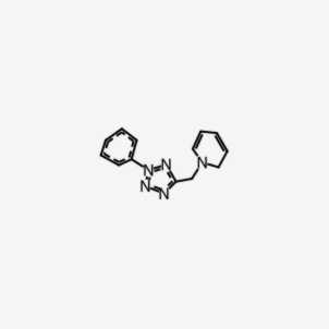 C1=CCN(Cc2nnn(-c3ccccc3)n2)C=C1